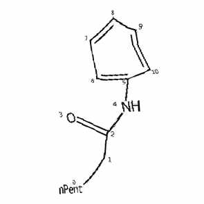 CCCCCCC(=O)Nc1ccccc1